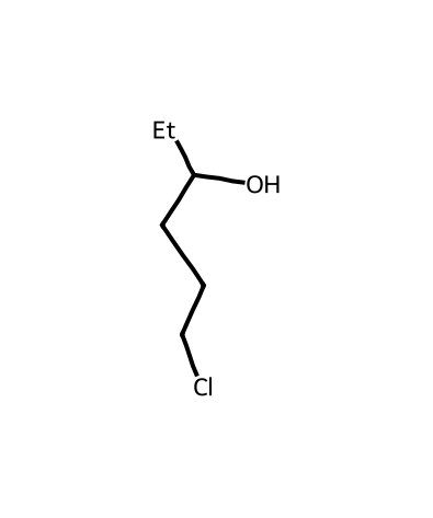 CCC(O)CCCCl